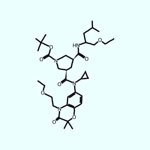 CCOCCN1C(=O)C(C)(C)Oc2ccc(N(C(=O)[C@@H]3C[C@H](C(=O)NC(COCC)CC(C)C)CN(C(=O)OC(C)(C)C)C3)C3CC3)cc21